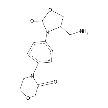 NCC1COC(=O)N1c1ccc(N2CCOCC2=O)cc1